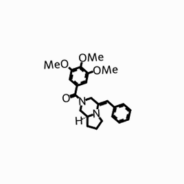 COc1cc(C(=O)N2C/C(=C/c3ccccc3)N3CCC[C@H]3C2)cc(OC)c1OC